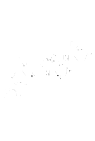 COC(=O)c1ccc(OC)c(N2CCN(c3ncnc(Nc4ccccc4F)c3[N+](=O)[O-])CC2)c1